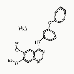 CCOc1cc2ncnc(Nc3cccc(Oc4ccccc4)c3)c2cc1OCC.Cl